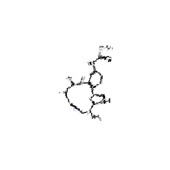 COC(=O)Nc1ccc2c(c1)NC(=O)C[C@@H](C)/C=C/C[C@H](N)c1nc-2c[nH]1